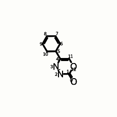 O=c1nnc(C2C=CC=CC2)co1